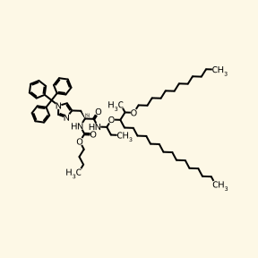 CCCCCCCCCCCCCCCC(OC(CC)NC(=O)[C@H](Cc1cn(C(c2ccccc2)(c2ccccc2)c2ccccc2)cn1)NC(=O)OCCCC)C(C)OCCCCCCCCCCCC